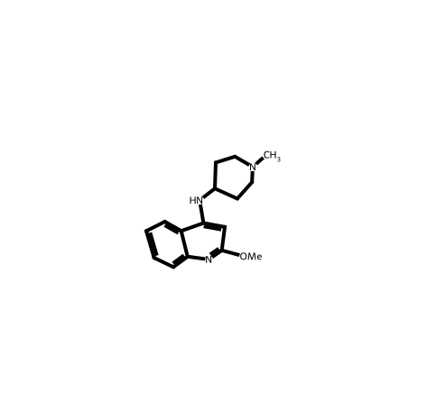 COc1cc(NC2CCN(C)CC2)c2ccccc2n1